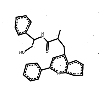 CC(Cc1cc(-c2ccccc2)nc2ccccc12)C(=O)NC(CO)c1ccccc1